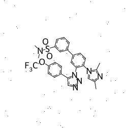 Cc1cn(-c2ccc(-c3cccc(S(=O)(=O)N(C)C)c3)cc2-n2nncc2-c2ccc(OC(F)(F)F)cc2)c(C)n1